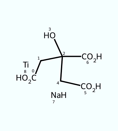 O=C(O)CC(O)(CC(=O)O)C(=O)O.[NaH].[Ti]